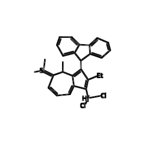 CCC1=[C]([Hf]([Cl])[Cl])C2=CC=CC(=[Si](C)C)C(C)C2=C1C1c2ccccc2-c2ccccc21